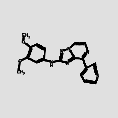 COc1ccc(Nc2nc3c(-c4cccnc4)nccn3n2)cc1OC